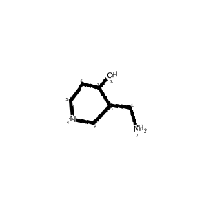 NCC1C[N]CCC1O